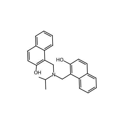 CC(C)N(Cc1c(O)ccc2ccccc12)Cc1c(O)ccc2ccccc12